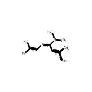 CC/C(C)=C/N=C(\C=C(/C)C(C)C)N(C)C